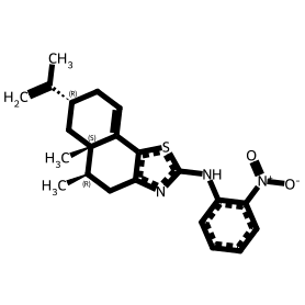 C=C(C)[C@@H]1CC=C2c3sc(Nc4ccccc4[N+](=O)[O-])nc3C[C@@H](C)[C@]2(C)C1